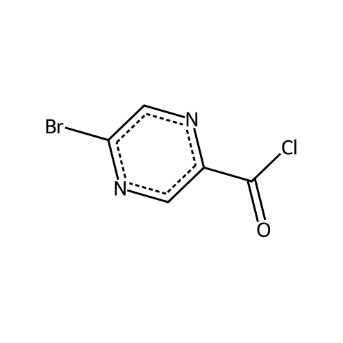 O=C(Cl)c1cnc(Br)cn1